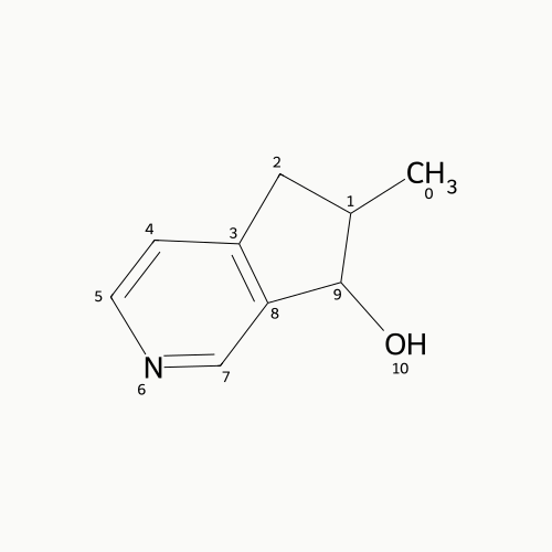 CC1Cc2ccncc2C1O